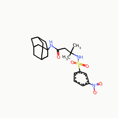 CC(C)(CC(=O)NC12CC3CC(CC(C3)C1)C2)NS(=O)(=O)c1cccc([N+](=O)[O-])c1